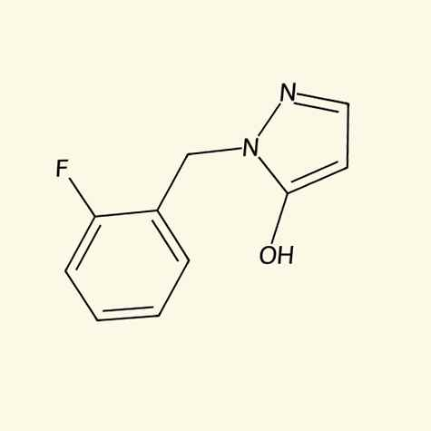 Oc1ccnn1Cc1ccccc1F